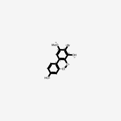 CCOc1c(-c2ccc(O)cc2)cc(OC)c(Br)c1O